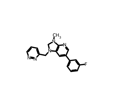 CN1CN(Cc2cccnn2)c2cc(-c3cccc(F)c3)cnc21